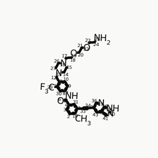 Cc1ccc(C(=O)Nc2ccc(CN3CCN(CCOCCOCCN)CC3)c(C(F)(F)F)c2)cc1C#Cc1cnc2[nH]ncc2c1